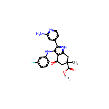 COC(=O)[C@]1(C)CC(=O)c2c([nH]c(-c3ccnc(N)c3)c2Nc2cccc(F)c2)C1